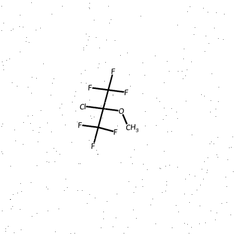 COC(Cl)(C(F)(F)F)C(F)(F)F